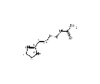 NC(=O)OCCSCC1=NCCN1